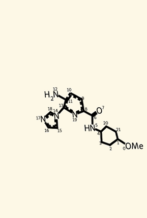 COC1CCC(NC(=O)c2ccc(N)c(-n3ccnc3)n2)CC1